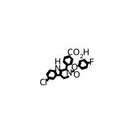 O=C(O)c1ccc(C2c3[nH]c4ccc(Cl)cc4c3CCN2C(=O)Oc2ccc(F)cc2)cc1